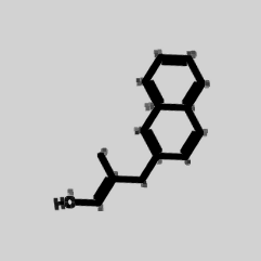 C/C(=C\O)Cc1ccc2ccccc2c1